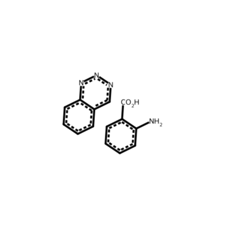 Nc1ccccc1C(=O)O.c1ccc2nnncc2c1